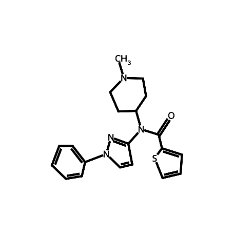 CN1CCC(N(C(=O)c2cccs2)c2ccn(-c3ccccc3)n2)CC1